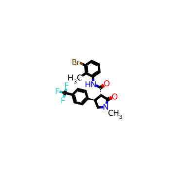 Cc1c(Br)cccc1NC(=O)[C@@H]1C(=O)N(C)C[C@H]1c1ccc(C(F)(F)F)cc1